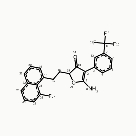 NC1=C(c2cccc(C(F)(F)F)c2)C(=O)C(CCc2cccc3cccc(F)c23)O1